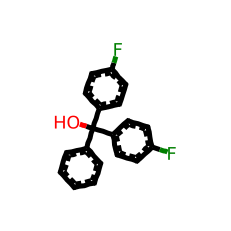 OC(c1ccccc1)(c1ccc(F)cc1)c1ccc(F)cc1